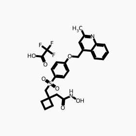 Cc1cc(COc2ccc(S(=O)(=O)CC3(CC(=O)NO)CCC3)cc2)c2ccccc2n1.O=C(O)C(F)(F)F